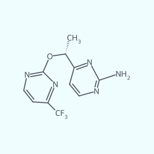 C[C@@H](Oc1nccc(C(F)(F)F)n1)c1ccnc(N)n1